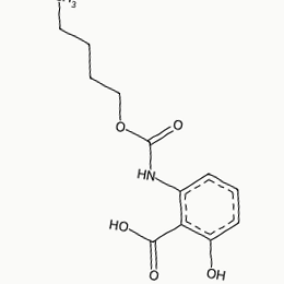 CCCCCOC(=O)Nc1cccc(O)c1C(=O)O